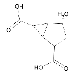 O.O=C(O)C1CCC2C(C(=O)O)C12